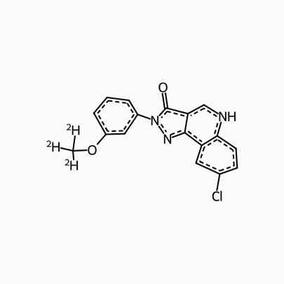 [2H]C([2H])([2H])Oc1cccc(-n2nc3c4cc(Cl)ccc4[nH]cc-3c2=O)c1